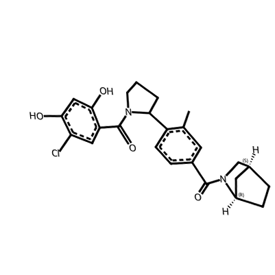 Cc1cc(C(=O)N2C[C@H]3CC[C@@H]2C3)ccc1C1CCCN1C(=O)c1cc(Cl)c(O)cc1O